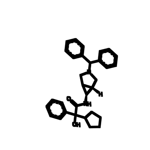 O=C(N[C@H]1C2CN(C(c3ccccc3)c3ccccc3)C[C@@H]21)C(O)(c1ccccc1)C1CCCC1